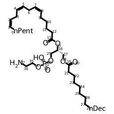 CCCCC/C=C\C/C=C\C/C=C\CCCCC(=O)O[C@H](COC(=O)CCCCCCCCCCCCCCCCC)COP(=O)(O)OCCN